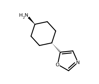 N[C@H]1CC[C@H](c2cnco2)CC1